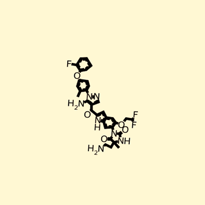 Cc1cc(Oc2ccccc2F)ccc1-n1ncc(C(=O)c2cc3cc(OCC(F)F)c(N4C(=O)NC(C)(CCN)C4=O)cc3[nH]2)c1N